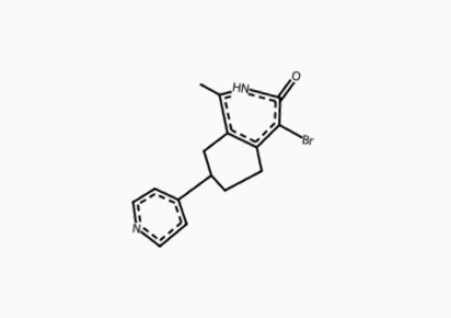 Cc1[nH]c(=O)c(Br)c2c1CC(c1ccncc1)CC2